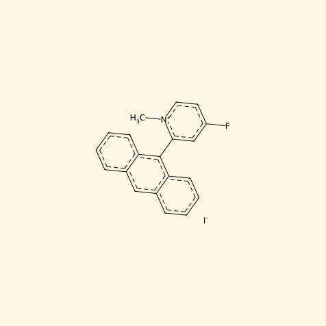 C[n+]1ccc(F)cc1-c1c2ccccc2cc2ccccc12.[I-]